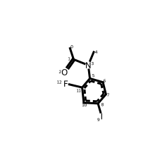 CC(=O)N(C)c1ccc(I)cc1F